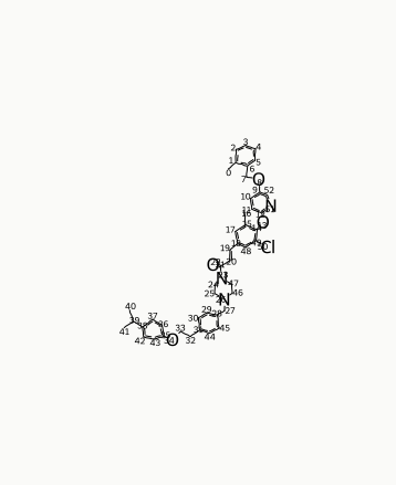 Cc1ccccc1COc1ccc(Oc2c(C)cc(/C=C/C(=O)N3CCN(Cc4ccc(CCOc5ccc(C(C)C)cc5)cc4)CC3)cc2Cl)nc1